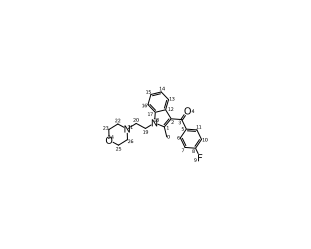 Cc1c(C(=O)c2ccc(F)cc2)c2ccccc2n1CCN1CCOCC1